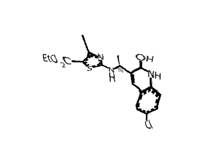 CCOC(=O)c1sc(N[C@@H](C)C2=Cc3cc(Cl)ccc3NC2O)nc1C